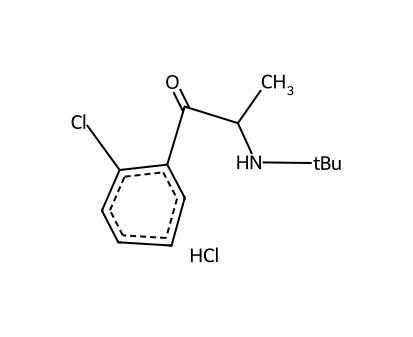 CC(NC(C)(C)C)C(=O)c1ccccc1Cl.Cl